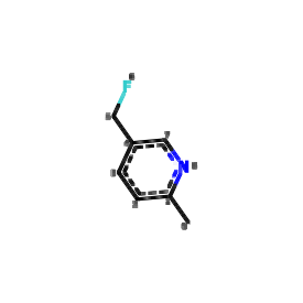 Cc1ccc(CF)cn1